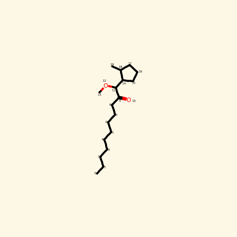 CCCCCCCCCC(=O)C(OC)C1CCCC1C